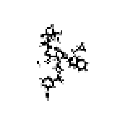 COc1cc(C(=O)N2C[C@H]3CC[C@@H]2[C@@H]3N)cc2nc(-c3cc4cccnc4n3CC3CC3)n(C3CN(C(=O)c4ccnc(C#N)c4)C3)c12